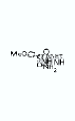 CC[C@H](C=N)CNC(=O)c1cc(-c2ccc(OC)cc2)sc1NC(N)=O